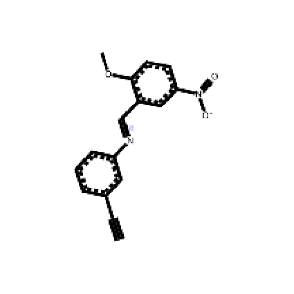 C#Cc1cccc(/N=C/c2cc([N+](=O)[O-])ccc2OC)c1